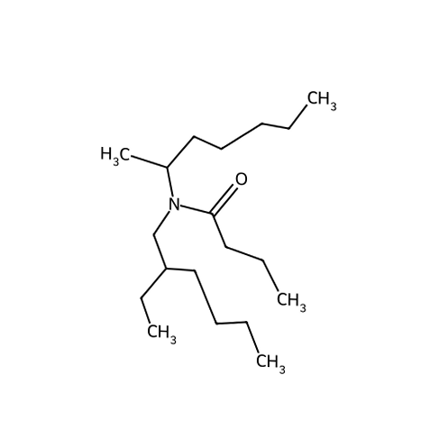 CCCCCC(C)N(CC(CC)CCCC)C(=O)CCC